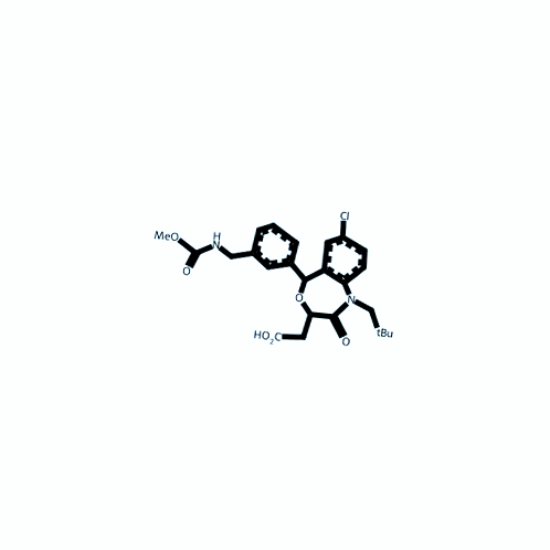 COC(=O)NCc1cccc(C2OC(CC(=O)O)C(=O)N(CC(C)(C)C)c3ccc(Cl)cc32)c1